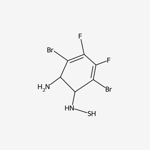 NC1C(Br)=C(F)C(F)=C(Br)C1NS